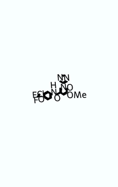 COc1cc(C(=O)Nc2ccc(OC(F)(F)Cl)cc2)cn(-c2cncnc2)c1=O